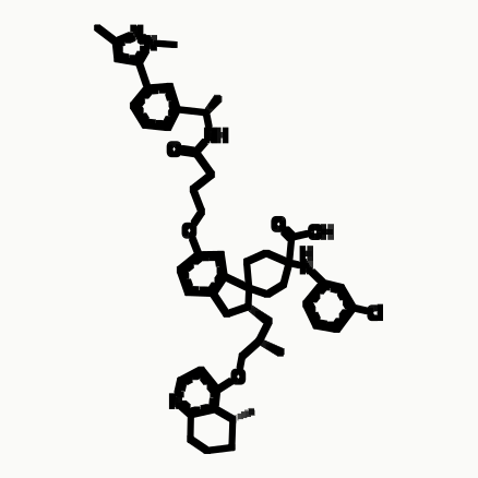 Cc1cc(-c2cccc([C@@H](C)NC(=O)CCCOc3ccc4c(c3)C3(CCC(Nc5cccc(Cl)c5)(C(=O)O)CC3)[C@@H](C[C@@H](C)COc3ccnc5c3[C@H](C)CCC5)C4)c2)n(C)n1